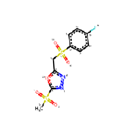 CS(=O)(=O)c1nnc(CS(=O)(=O)c2ccc(F)cc2)o1